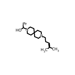 CC(C)=CCCN1CCC2(CC1)CCN(C(O)C(C)C)CC2